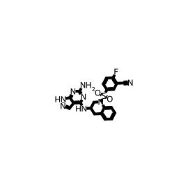 N#Cc1cc(S(=O)(=O)N2CC(Nc3nc(N)nc4[nH]ncc34)Cc3ccccc32)ccc1F